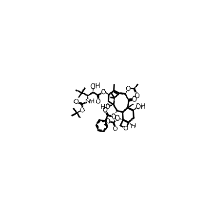 COC(=O)O[C@@]12CO[C@@H]1C[C@H](O)[C@@]1(C)C(=O)[C@H](OC(C)=O)C3=C(C)[C@H](OC(=O)[C@@H](O)[C@@H](NC(=O)OC(C)(C)C)C(C)(C)C)C[C@@](O)([C@@H](OC(=O)c4ccccc4)C12)C3(C)C